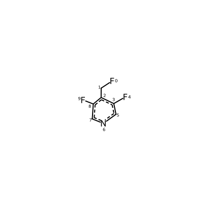 FCc1c(F)cncc1F